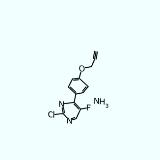 C#CCOc1ccc(-c2nc(Cl)ncc2F)cc1.N